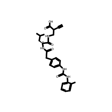 C#CC(CNC(=O)[C@H](CC(C)C)NC(=O)Cc1ccc(NC(=O)Nc2ccccc2C)cc1)C(=O)O